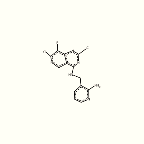 Nc1ncccc1CNc1nc(Cl)nc2c(F)c(Cl)ncc12